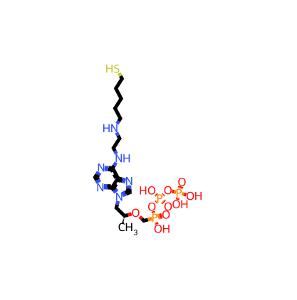 C[C@H](Cn1cnc2c(NCCNCCCCCS)ncnc21)OCP(=O)(O)OP(=O)(O)OP(=O)(O)O